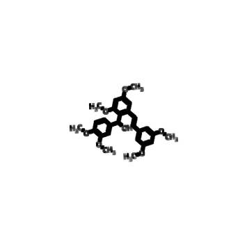 COc1cc(C=Cc2cc(OC)cc(OC)c2C(O)c2ccc(OC)c(OC)c2)cc(OC)c1